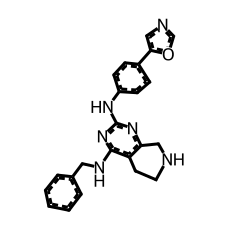 c1ccc(CNc2nc(Nc3ccc(-c4cnco4)cc3)nc3c2CCNC3)cc1